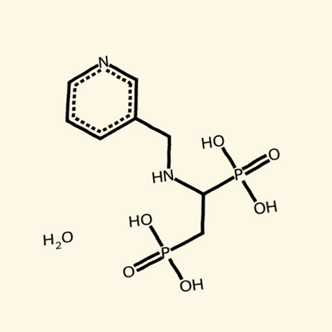 O.O=P(O)(O)CC(NCc1cccnc1)P(=O)(O)O